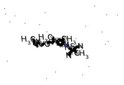 CCN(CCOCCn1cc[n+](C)c1)c1ccc(/N=N/c2sc(C#N)c(C)c2C#N)c(C)c1